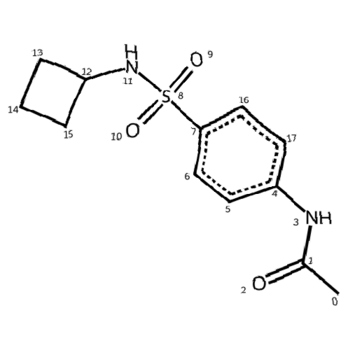 CC(=O)Nc1ccc(S(=O)(=O)NC2CCC2)cc1